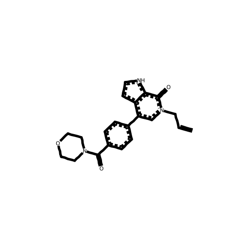 C=CCn1cc(-c2ccc(C(=O)N3CCOCC3)cc2)c2cc[nH]c2c1=O